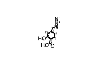 [N-]=[N+]=NCc1ccc(C(=O)O)c(O)c1